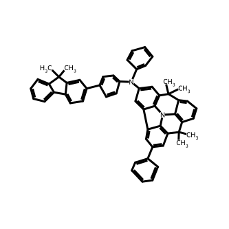 CC1(C)c2ccccc2-c2ccc(-c3ccc(N(c4ccccc4)c4cc5c6c(c4)c4cc(-c7ccccc7)cc7c4n6-c4c(cccc4C5(C)C)C7(C)C)cc3)cc21